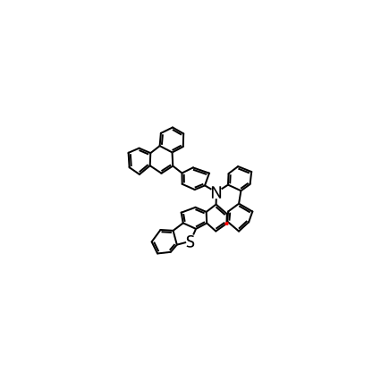 c1ccc(-c2ccccc2N(c2ccc(-c3cc4ccccc4c4ccccc34)cc2)c2cccc3c2ccc2c4ccccc4sc32)cc1